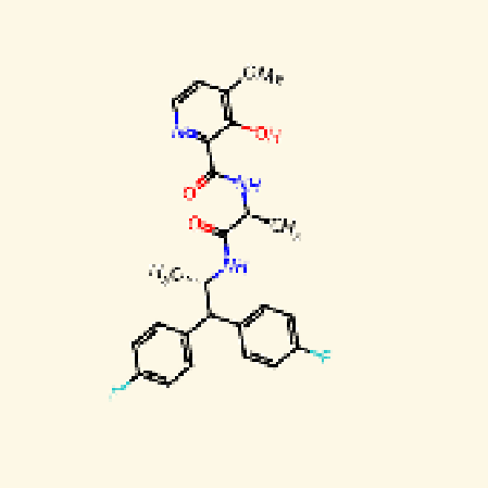 COc1ccnc(C(=O)N[C@@H](C)C(=O)N[C@@H](C)C(c2ccc(F)cc2)c2ccc(F)cc2)c1O